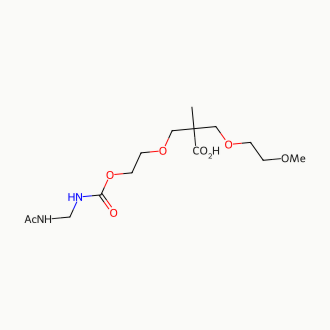 COCCOCC(C)(COCCOC(=O)NCNC(C)=O)C(=O)O